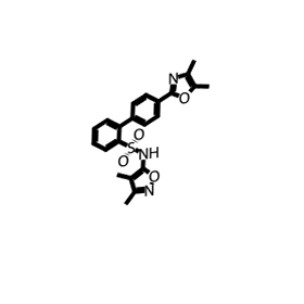 Cc1nc(-c2ccc(-c3ccccc3S(=O)(=O)Nc3onc(C)c3C)cc2)oc1C